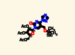 CC(=O)OC[C@H]1O[C@@H](n2cc(CO[Si](C)(C)C(C)(C)C)c(-n3cncn3)nc2=O)[C@@H](OC(C)=O)C1OC(C)=O